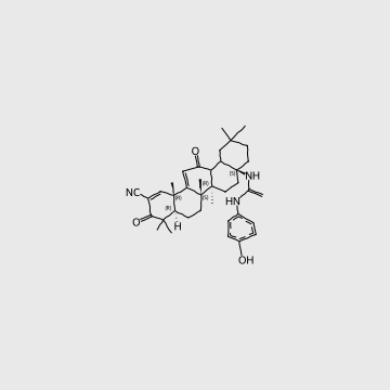 C=C(Nc1ccc(O)cc1)N[C@]12CCC(C)(C)CC1C1C(=O)C=C3[C@@]4(C)C=C(C#N)C(=O)C(C)(C)[C@@H]4CC[C@@]3(C)[C@]1(C)CC2